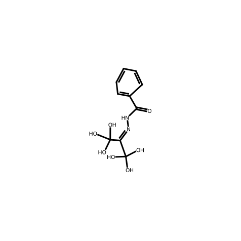 O=C(NN=C(C(O)(O)O)C(O)(O)O)c1ccccc1